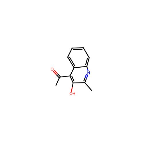 CC(=O)c1c(O)c(C)nc2ccccc12